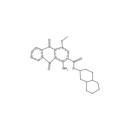 CSc1cc(C(=O)OC2CCC3CCCCC3C2)c(N)c2c1C(=O)c1ccccc1C2=O